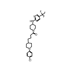 O=C(CCCC1CCN(c2ccc(Cl)cc2)CC1)N1CCC(Nc2ccc(C(F)(F)F)cn2)CC1